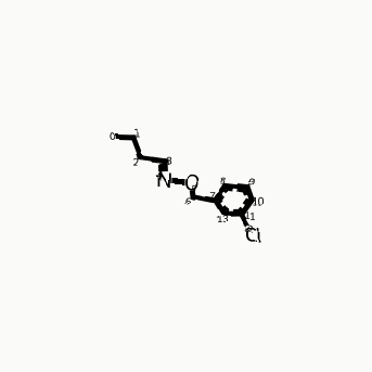 CCCC=NOCc1cccc(Cl)c1